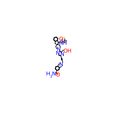 CC(C)(C)[S+]([O-])N[C@@H]1c2ccccc2CC12CCN(c1ncc(C#CCN3Cc4ccc(C(N)=O)cc4C3)nc1CO)CC2